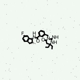 CCC1(CC)CC(=O)N(Cc2cccc(C(=O)N[C@@H]3c4cc(F)ccc4C[C@H]3C)c2)C(=N)N1